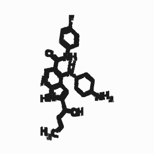 CCCC(O)c1cc2c(N[C@H]3CC[C@H](N)CC3)c(C(=O)Nc3ccc(F)cc3)cnc2[nH]1